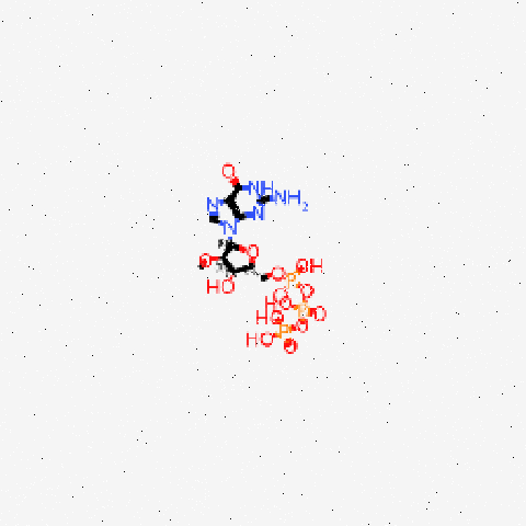 CO[C@@H]1[C@@H](O)[C@@H](COP(=O)(O)OP(=O)(O)OP(=O)(O)O)O[C@H]1n1cnc2c(=O)[nH]c(N)nc21